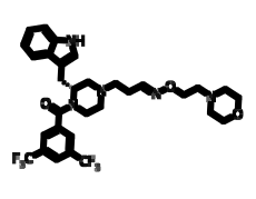 O=C(c1cc(C(F)(F)F)cc(C(F)(F)F)c1)N1CCN(CC/C=N/OCCN2CCOCC2)C[C@H]1Cc1c[nH]c2ccccc12